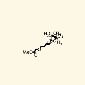 COC(=O)COCC/C=C/B1OC(C)(C)C(C)(C)O1